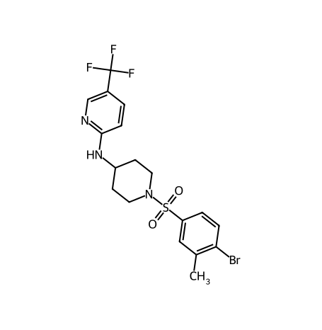 Cc1cc(S(=O)(=O)N2CCC(Nc3ccc(C(F)(F)F)cn3)CC2)ccc1Br